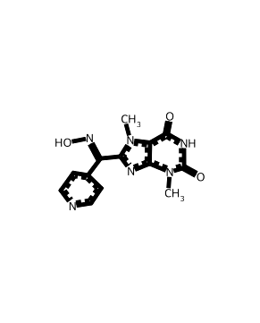 Cn1c(/C(=N/O)c2ccncc2)nc2c1c(=O)[nH]c(=O)n2C